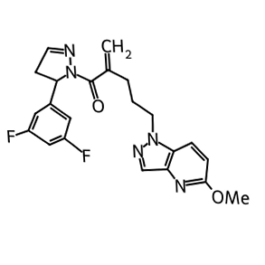 C=C(CCCn1ncc2nc(OC)ccc21)C(=O)N1N=CCC1c1cc(F)cc(F)c1